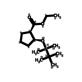 CCOC(=O)[C@@H]1CCC[C@@H]1O[Si](C)(C)C(C)(C)C